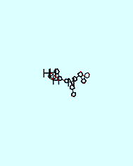 c1ccc(-c2ccc(N(c3ccc(-c4ccc5c(c4)-c4ccccc4[C@]54[C@@H]5CC6C[C@@H](C5)C[C@@H]4C6)cc3)c3ccc(-c4cccc5c4-c4ccccc4C54CCCCC4)cc3)cc2)cc1